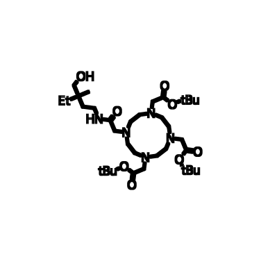 CCC(C)(CO)CCNC(=O)CN1CCN(CC(=O)OC(C)(C)C)CCN(CC(=O)OC(C)(C)C)CCN(CC(=O)OC(C)(C)C)CC1